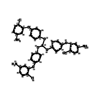 Nc1ccc(Cl)c(Oc2ccc(OB(Oc3ccc(Oc4cc(N)ccc4Cl)cc3)Oc3ccc(Oc4cc(N)ccc4Cl)cc3)cc2)c1